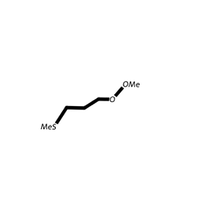 COOCCCSC